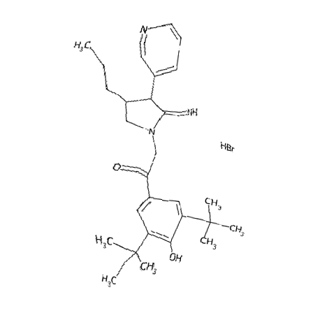 Br.CCCC1CN(CC(=O)c2cc(C(C)(C)C)c(O)c(C(C)(C)C)c2)C(=N)C1c1cccnc1